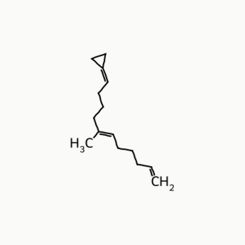 C=CCCCC=C(C)CCCC=C1CC1